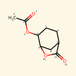 CC(=O)OC1CCC2CC1OC2=O